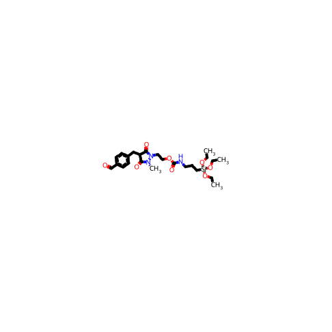 CCO[Si](CCCNC(=O)OCCN1C(=O)C(Cc2ccc(C=O)cc2)C(=O)N1C)(OCC)OCC